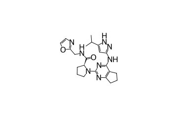 CC(C)c1cc(Nc2nc(N3CCC[C@H]3C(=O)NCc3ncco3)nc3c2CCC3)n[nH]1